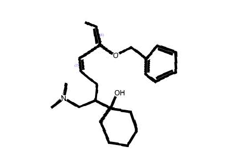 C/C=C(\C=C/CC(CN(C)C)C1(O)CCCCC1)OCc1ccccc1